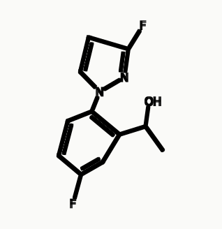 CC(O)c1cc(F)ccc1-n1ccc(F)n1